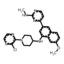 CNc1nccc(-c2cc(NC3CCN(c4nccnc4Cl)CC3)c3cc(OC)ccc3c2)n1